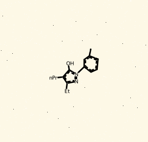 CCCc1c(CC)nn(-c2cccc(C)c2)c1O